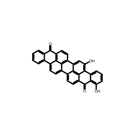 O=C1c2ccccc2-c2ccc3c4ccc5c6c(c(O)cc(c7ccc1c2c37)c64)-c1cccc(O)c1C5=O